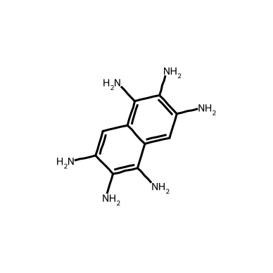 Nc1cc2c(N)c(N)c(N)cc2c(N)c1N